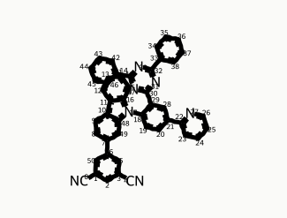 N#Cc1cc(C#N)cc(-c2ccc3c4ccccc4n(-c4ccc(-c5ccccn5)cc4-c4nc(-c5ccccc5)nc(-c5ccccc5)n4)c3c2)c1